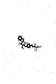 CC[C@H](C(=N)Cc1ccc(/C=C/C(=O)NO)cc1)C(=O)N1CCc2ccccc21